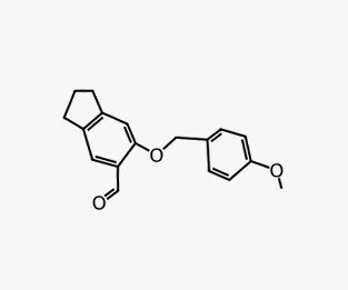 COc1ccc(COc2cc3c(cc2C=O)CCC3)cc1